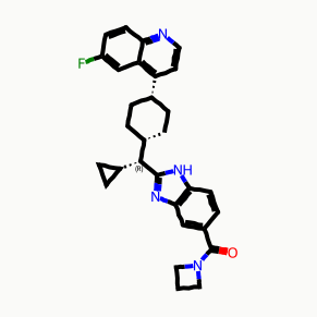 O=C(c1ccc2[nH]c([C@H](C3CC3)[C@H]3CC[C@@H](c4ccnc5ccc(F)cc54)CC3)nc2c1)N1CCC1